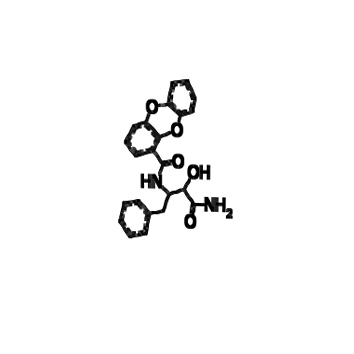 NC(=O)C(O)C(Cc1ccccc1)NC(=O)c1cccc2c1Oc1ccccc1O2